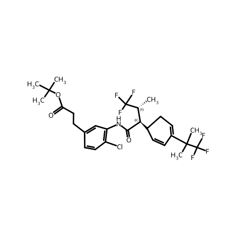 C[C@H]([C@H](C(=O)Nc1cc(CCC(=O)OC(C)(C)C)ccc1Cl)C1C=CC(C(C)(C)C(F)(F)F)=CC1)C(F)(F)F